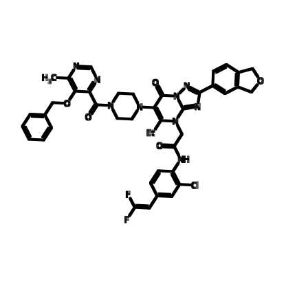 CCc1c(N2CCN(C(=O)c3ncnc(C)c3OCc3ccccc3)CC2)c(=O)n2nc(-c3ccc4c(c3)COC4)nc2n1CC(=O)Nc1ccc(C=C(F)F)cc1Cl